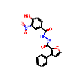 O=C(NNC(=O)c1occc1-c1ccccc1)c1ccc(O)c([N+](=O)[O-])c1